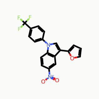 O=[N+]([O-])c1ccc2c(c1)c(-c1ccco1)cn2-c1ccc(C(F)(F)F)cc1